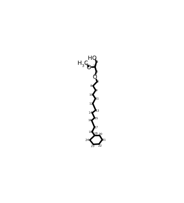 COC(CO)COCCCCCCCCCCCCC1CCCCC1